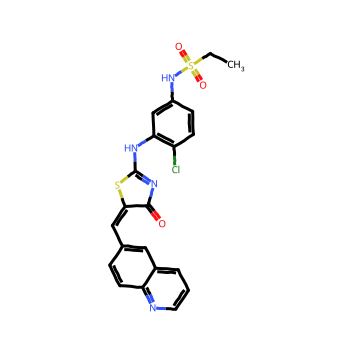 CCS(=O)(=O)Nc1ccc(Cl)c(NC2=NC(=O)C(=Cc3ccc4ncccc4c3)S2)c1